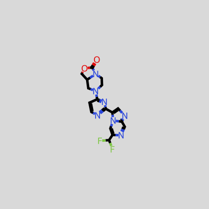 O=C1OCC2CN(c3ccnc(-c4cnc5cnc(C(F)F)cn45)n3)CCN12